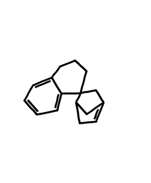 C1=C2CC(C1)C1(CCCc3ccccc31)C2